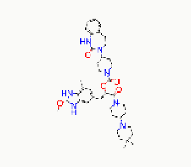 COC1Nc2cc(C[C@@H](OC(=O)N3CCC(N4CCc5ccccc5NC4=O)CC3)C(=O)N3CCC(N4CCC(C)(C)CC4)CC3)cc(C)c2N1